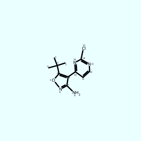 CC(C)(C)c1onc(N)c1-c1ccnc(Cl)n1